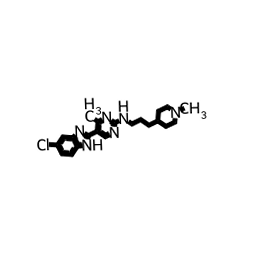 Cc1nc(NCCCC2CCN(C)CC2)ncc1-c1nc2cc(Cl)ccc2[nH]1